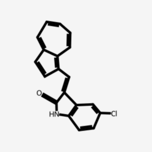 O=C1Nc2ccc(Cl)cc2/C1=C/c1ccc2cccccc1-2